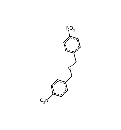 O=[N+]([O-])c1ccc(COCc2ccc([N+](=O)[O-])cc2)cc1